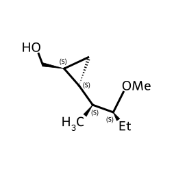 CC[C@H](OC)[C@@H](C)[C@H]1C[C@@H]1CO